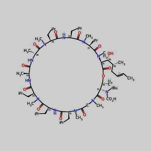 C/C=C/C[C@@H](C)[C@@H](O)[C@H]1C(=O)O[C@H](C)[C@H](N(C(=O)O)C(C)(C)C)C(=O)N(C)CC(=O)N(C)[C@@H](CC(C)C)C(=O)N[C@@H](CC(C)C)C(=O)N(C)[C@@H](CC(C)C)C(=O)N[C@@H](C)C(=O)N[C@H](C)C(=O)N(C)[C@@H](CC(C)C)C(=O)N[C@@H](CC(C)C)C(=O)N(C)[C@@H](C(C)C)C(=O)N1C